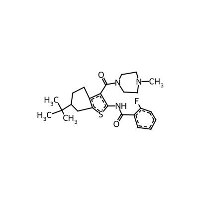 CN1CCN(C(=O)c2c(NC(=O)c3ccccc3F)sc3c2CCC(C(C)(C)C)C3)CC1